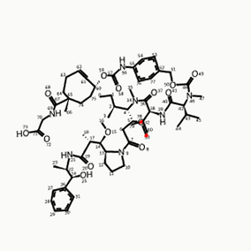 CC[C@H](C)[C@@H](C(CC(=O)N1CCC[C@H]1[C@H](OC)[C@@H](C)C(=O)N[C@H](C)[C@@H](O)c1ccccc1)OC)N(C)C(=O)[C@@H](NC(=O)[C@H](C(C)C)N(C)C(=O)OCc1ccc(NC(=O)O[C@H]2/C=C/CC[C@@](C)(C(=O)NCC(=O)O)CC2)cc1)C(C)C